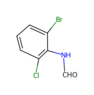 O=CNc1c(Cl)cccc1Br